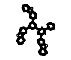 c1ccc(-c2nc(-c3cc(-c4ccc5oc6ccccc6c5c4)cc(-c4ccc5oc6ccccc6c5c4)c3)cc(-c3ccc4c(c3)oc3ccccc34)n2)cc1